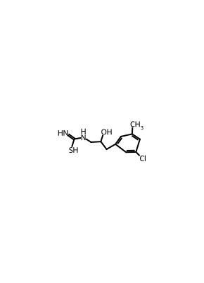 Cc1cc(Cl)cc(CC(O)CNC(=N)S)c1